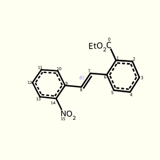 CCOC(=O)c1ccccc1/C=C/c1ccccc1[N+](=O)[O-]